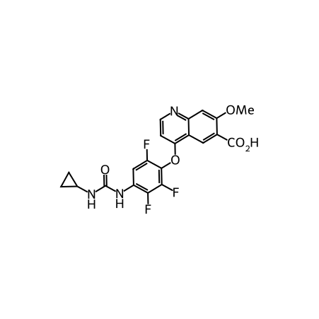 COc1cc2nccc(Oc3c(F)cc(NC(=O)NC4CC4)c(F)c3F)c2cc1C(=O)O